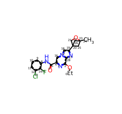 CCOc1nc(C(=O)Nc2cccc(Cl)c2F)cn2cc(C34COC(C)(C3)C4)nc12